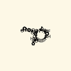 C=C[C@@H]1C[C@@]12NC(=O)[C@@H]1C[C@@H](OC(=O)N3CCN(c4cccc(OC)n4)CC3)CN1C(=O)[C@@H](NC(=O)OC1CCCC1)CCCCCCCNc1ccc(F)cc1S(=O)(=O)NC2=O